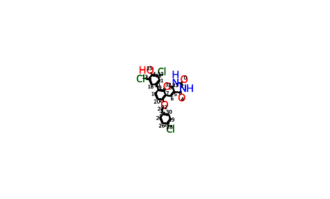 O=C1NC(=O)C(=Cc2cc(-c3cc(Cl)c(O)c(Cl)c3)ccc2OCc2ccc(Cl)cc2)C(=O)N1